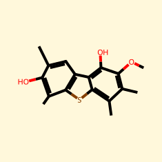 COc1c(C)c(C)c2sc3c(C)c(O)c(C)cc3c2c1O